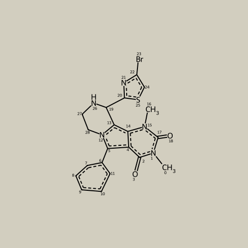 Cn1c(=O)c2c(-c3ccccc3)n3c(c2n(C)c1=O)C(c1nc(Br)cs1)NCC3